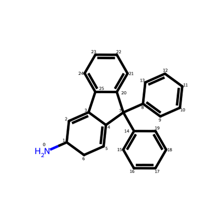 NC1C=C2C(=CC1)C(c1ccccc1)(c1ccccc1)c1ccccc12